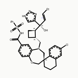 CC/C=C/[C@](O)(c1c[nH]nn1)[C@@H]1CC[C@H]1CN1C[C@@]2(CCCc3cc(Cl)ccc32)COc2ccc(C(=O)NS(=O)(=O)C(C)C)cc21